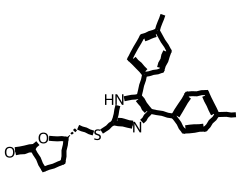 Cc1ccc(-c2nc(SC[C@@H]3CCC(=O)O3)[nH]c2-c2ccc(C)cc2)cc1